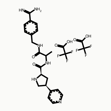 CC(NC(=O)[C@H]1C[C@@H](c2ccncc2)CN1)C(=O)NCc1ccc(C(=N)N)cc1.O=C(O)C(F)(F)F.O=C(O)C(F)(F)F